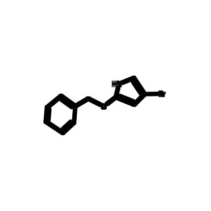 Brc1c[nH]c(OCc2ccccc2)c1